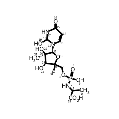 CC(NP(=O)(O)OC[C@@]1(F)O[C@H](N2C=CC(=O)NC2O)[C@](C)(O)[C@@H]1O)C(=O)O